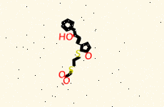 COC(=O)CSCCCS[C@H]1C(=O)CC[C@@H]1/C=C/C(O)Cc1ccccc1